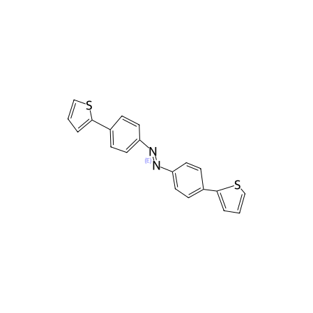 c1csc(-c2ccc(/N=N/c3ccc(-c4cccs4)cc3)cc2)c1